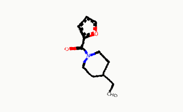 O=CCC1CCN(C(=O)c2ccco2)CC1